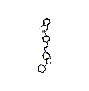 Clc1ccccc1SNc1ccc(/C=C/c2cnc(NC3CCCCC3)nc2)cc1